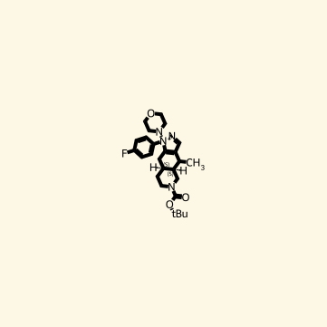 CC1C2=C(C[C@@H]3CCN(C(=O)OC(C)(C)C)C[C@H]13)[N+](c1ccc(F)cc1)(N1CCOCC1)N=C2